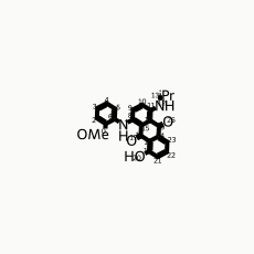 COc1ccccc1Nc1ccc(NC(C)C)c2c1C(=O)c1c(O)cccc1C2=O